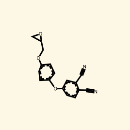 N#Cc1ccc(Oc2ccc(OCC3CO3)cc2)cc1C#N